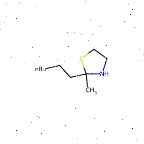 CCCCCCC1(C)NCCS1